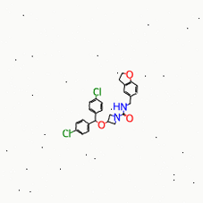 O=C(NCc1ccc2c(c1)CCO2)N1CC(OC(c2ccc(Cl)cc2)c2ccc(Cl)cc2)C1